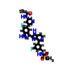 CC(C)(C)C(=O)Nc1cncc(-c2cc3c(-c4nc5c(-c6cc(F)cc(CNS(C)(=O)=O)c6)nccc5[nH]4)n[nH]c3cc2F)c1